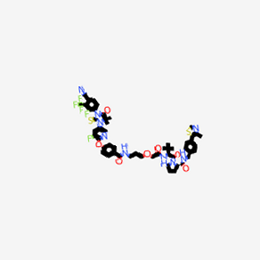 Cc1ncsc1-c1ccc(CNC(=O)[C@@H]2CCCN2C(=O)C(NC(=O)COCCCNC(=O)c2ccc(Oc3ncc(N4C(=S)N(c5ccc(C#N)c(C(F)(F)F)c5F)C(=O)C4(C)C)cc3F)cc2)C(C)(C)C)cc1